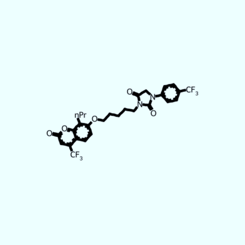 CCCc1c(OCCCCCN2C(=O)CN(c3ccc(C(F)(F)F)cc3)C2=O)ccc2c(C(F)(F)F)cc(=O)oc12